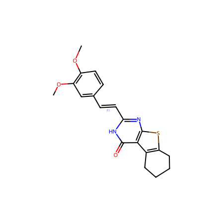 COc1ccc(/C=C/c2nc3sc4c(c3c(=O)[nH]2)CCCC4)cc1OC